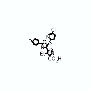 CCc1c(C(=O)O)noc1-c1nc(-c2ccc(F)cc2)oc1Sc1ccc(Cl)cn1